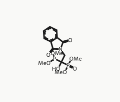 COP(OC)C(O)(CN1C(=O)c2ccccc2C1=O)P(=O)(OC)OC